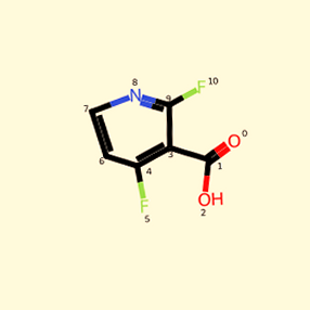 O=C(O)c1c(F)ccnc1F